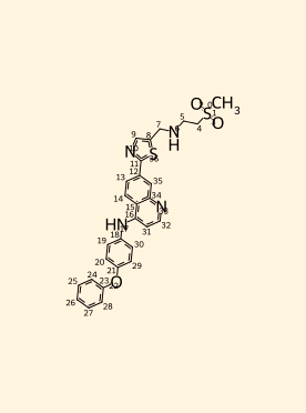 CS(=O)(=O)CCNCc1cnc(-c2ccc3c(Nc4ccc(Oc5ccccc5)cc4)ccnc3c2)s1